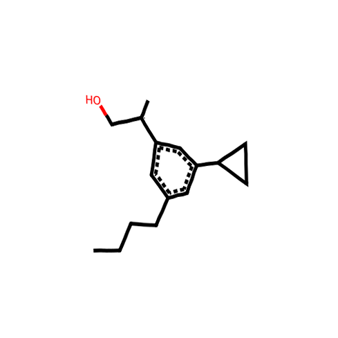 CCCCc1cc([C](C)CO)cc(C2CC2)c1